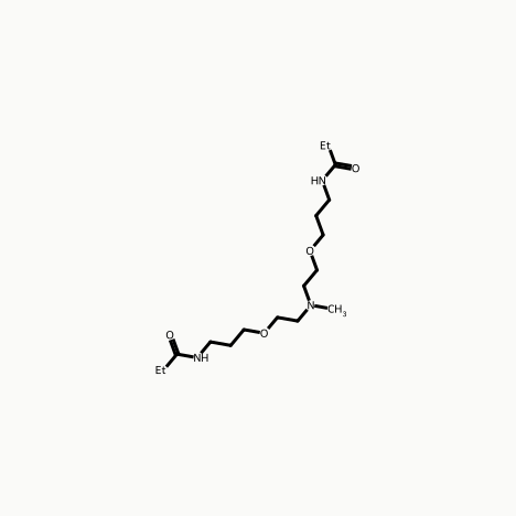 CCC(=O)NCCCOCCN(C)CCOCCCNC(=O)CC